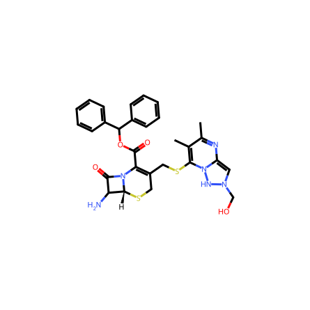 CC1=NC2=CN(CO)NN2C(SCC2=C(C(=O)OC(c3ccccc3)c3ccccc3)N3C(=O)C(N)[C@H]3SC2)=C1C